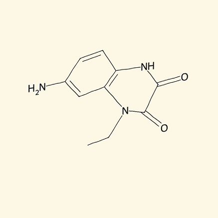 CCn1c(=O)c(=O)[nH]c2ccc(N)cc21